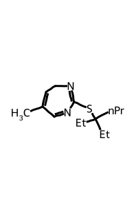 CCCC(CC)(CC)SC1=NCC=C(C)C=N1